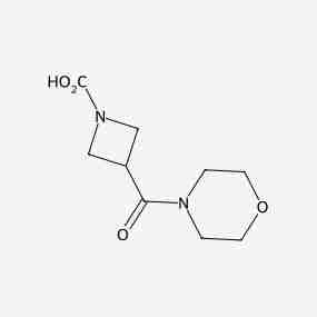 O=C(O)N1CC(C(=O)N2CCOCC2)C1